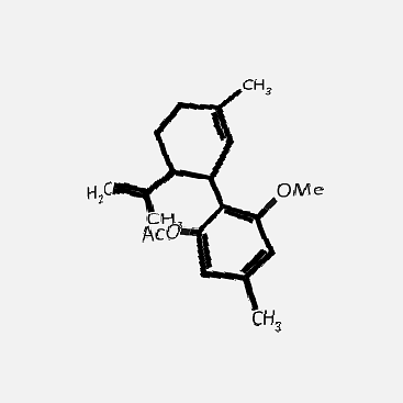 C=C(C)C1CCC(C)=CC1c1c(OC)cc(C)cc1OC(C)=O